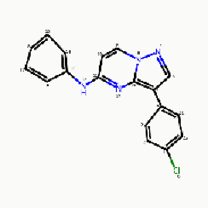 Clc1ccc(-c2cnn3ccc(Nc4ccccc4)nc23)cc1